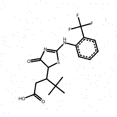 CC(C)(C)C(CC(=O)O)C1SC(Nc2ccccc2C(F)(F)F)=NC1=O